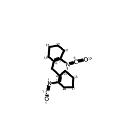 O=C=NC1=C(CC2=C(N=C=O)CCCC2)CCCC1